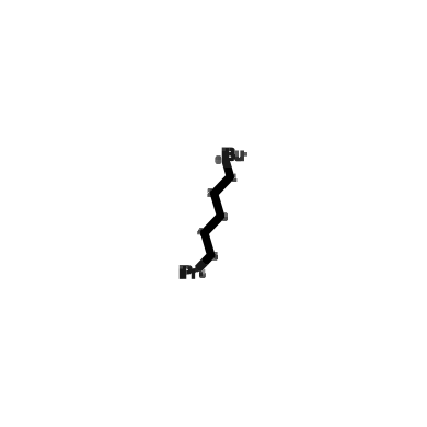 CC[C](C)CCCCCC(C)C